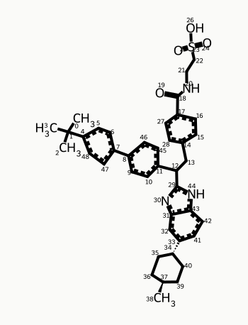 CC(C)(C)c1ccc(-c2ccc(C(Cc3ccc(C(=O)NCCS(=O)(=O)O)cc3)c3nc4cc([C@H]5CC[C@H](C)CC5)ccc4[nH]3)cc2)cc1